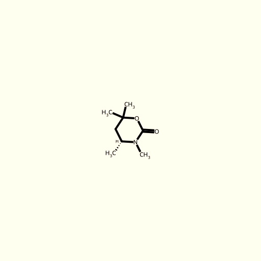 C[C@@H]1CC(C)(C)OC(=O)N1C